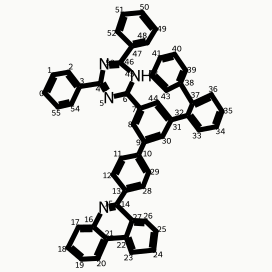 c1ccc(C2=NC(c3cc(-c4ccc(-c5nc6ccccc6c6ccccc56)cc4)cc(-c4ccccc4-c4ccccc4)c3)NC(c3ccccc3)=N2)cc1